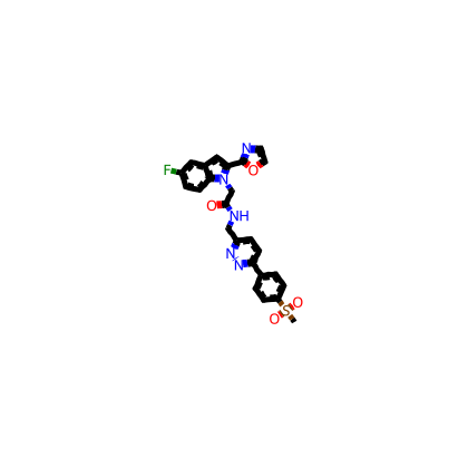 CS(=O)(=O)c1ccc(-c2ccc(CNC(=O)Cn3c(-c4ncco4)cc4cc(F)ccc43)nn2)cc1